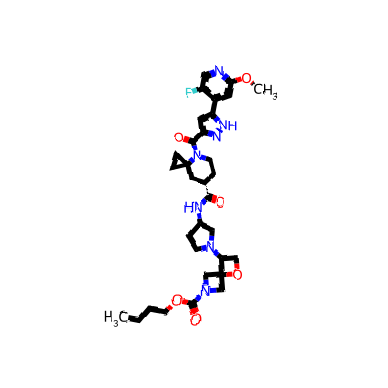 CCCCOC(=O)N1CC2(C1)OCC2N1CCC(NC(=O)[C@H]2CCN(C(=O)c3cc(-c4cc(OC)ncc4F)[nH]n3)C3(CC3)C2)C1